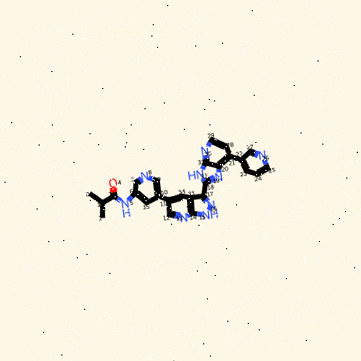 CC(C)C(=O)Nc1cncc(-c2cnc3[nH]nc(-c4nc5c(-c6cccnc6)ccnc5[nH]4)c3c2)c1